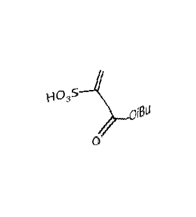 C=C(C(=O)OCC(C)C)S(=O)(=O)O